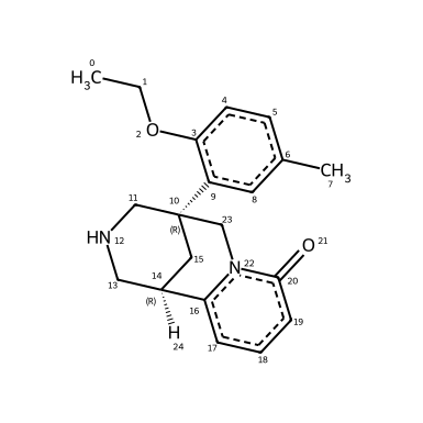 CCOc1ccc(C)cc1[C@@]12CNC[C@@H](C1)c1cccc(=O)n1C2